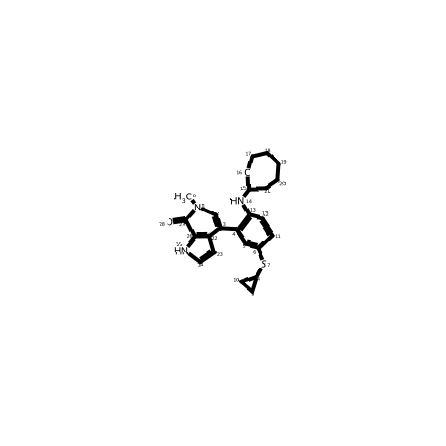 Cn1cc(-c2cc(SC3CC3)ccc2NC2CCCCCC2)c2cc[nH]c2c1=O